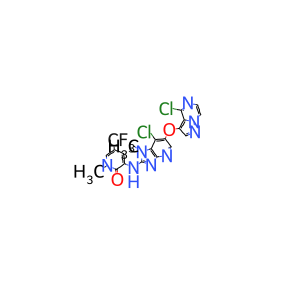 Cn1cc(C(F)(F)F)cc(Nc2nc3ncc(Oc4cnn5ccnc(Cl)c45)c(Cl)c3n2C)c1=O